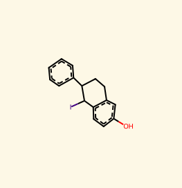 Oc1ccc2c(c1)CCC(c1ccccc1)C2I